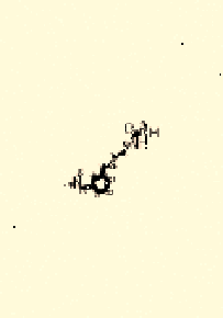 CNC(=O)NSCCSCc1cccc(CN(C)C)c1